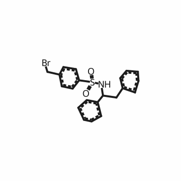 O=S(=O)(NC(Cc1ccccc1)c1ccccc1)c1ccc(CBr)cc1